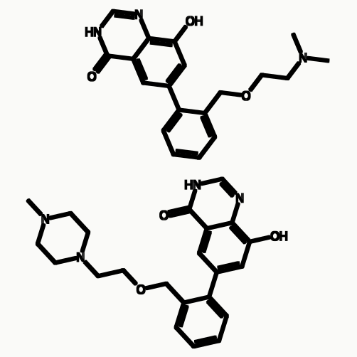 CN(C)CCOCc1ccccc1-c1cc(O)c2nc[nH]c(=O)c2c1.CN1CCN(CCOCc2ccccc2-c2cc(O)c3nc[nH]c(=O)c3c2)CC1